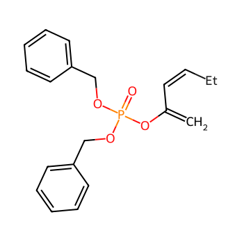 C=C(/C=C\CC)OP(=O)(OCc1ccccc1)OCc1ccccc1